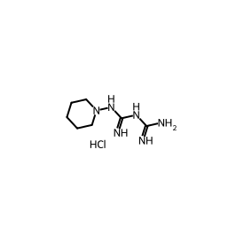 Cl.N=C(N)NC(=N)NN1CCCCC1